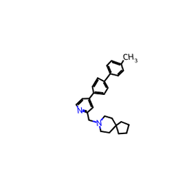 Cc1ccc(-c2ccc(-c3ccnc(CN4CCC5(CCCC5)CC4)c3)cc2)cc1